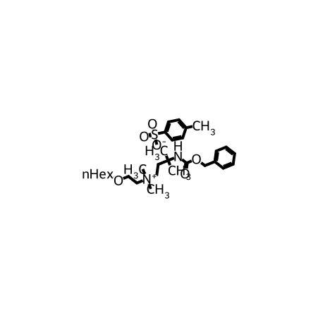 CCCCCCOCC[N+](C)(C)CCC(C)(C)NC(=O)OCc1ccccc1.Cc1ccc(S(=O)(=O)[O-])cc1